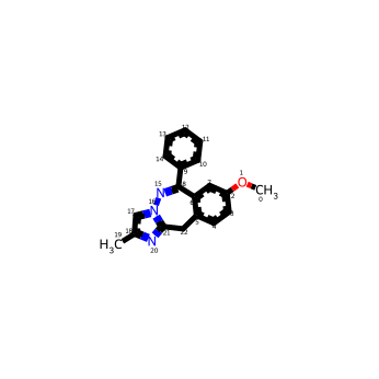 COc1ccc2c(c1)C(c1ccccc1)=Nn1cc(C)nc1C2